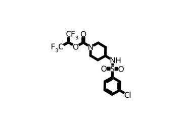 O=C(OC(C(F)(F)F)C(F)(F)F)N1CCC(NS(=O)(=O)c2cccc(Cl)c2)CC1